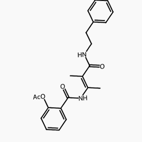 CC(=O)Oc1ccccc1C(=O)NC(C)=C(C)C(=O)NCCc1ccccc1